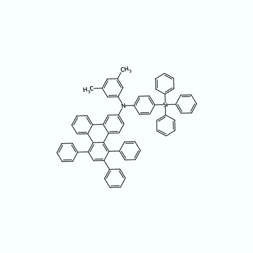 Cc1cc(C)cc(N(c2ccc([Si](c3ccccc3)(c3ccccc3)c3ccccc3)cc2)c2ccc3c(c2)c2ccccc2c2c(-c4ccccc4)cc(-c4ccccc4)c(-c4ccccc4)c32)c1